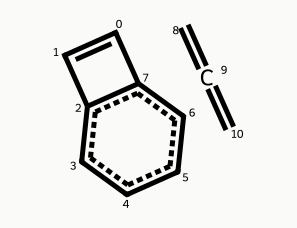 C1=Cc2ccccc21.C=C=C